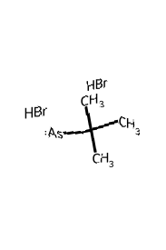 Br.Br.CC(C)(C)[As]